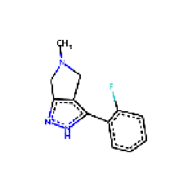 CN1Cc2n[nH]c(-c3ccccc3F)c2C1